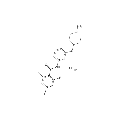 CN1CCC(Oc2cccc(NC(=O)c3c(F)cc(F)cc3F)n2)CC1.[Cl-].[H+]